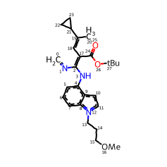 C=N/C(Nc1cccc2c1ccn2CCCOC)=C(\C=C(/C)C1CC1)C(=O)OC(C)(C)C